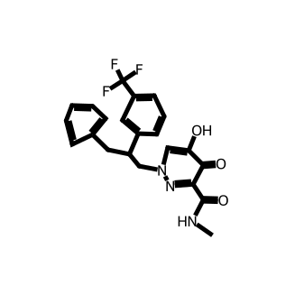 CNC(=O)c1nn(CC(Cc2ccccc2)c2cccc(C(F)(F)F)c2)cc(O)c1=O